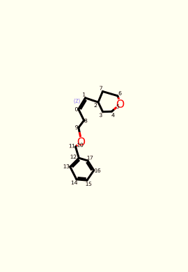 C(=C/C1CCOCC1)/CCOCc1ccccc1